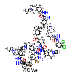 CN1CCc2c(cccc2NC(=O)Nc2cccc(Cl)c2Cl)C1.CN1CCc2ccc(NC(=O)Nc3cccc(C(=O)c4ccccc4)c3)cc2C1.COc1ccc(N(C(N)=O)c2ccc3c(c2)CN(C)CC3)cc1Br.COc1ccc(NC(=O)Nc2ccc3c(c2)CN(C)CC3)cc1.COc1ccc(NC(=O)Nc2cccc3c2CCN(C)C3)cc1Br